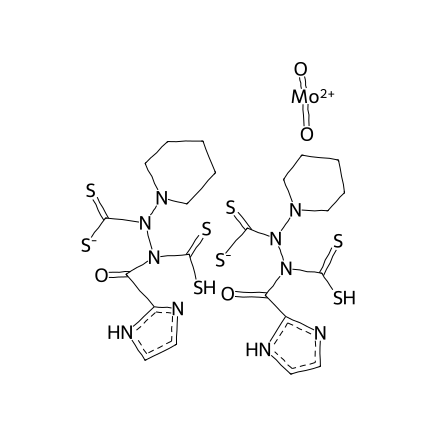 O=C(c1ncc[nH]1)N(C(=S)S)N(C(=S)[S-])N1CCCCC1.O=C(c1ncc[nH]1)N(C(=S)S)N(C(=S)[S-])N1CCCCC1.[O]=[Mo+2]=[O]